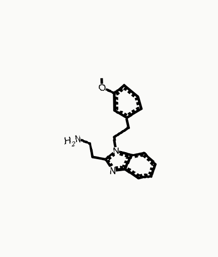 COc1cccc(CCn2c(CCN)nc3ccccc32)c1